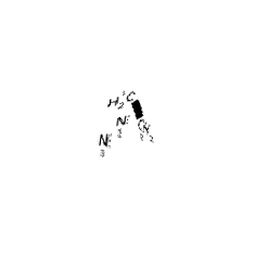 C=C.[N].[N]